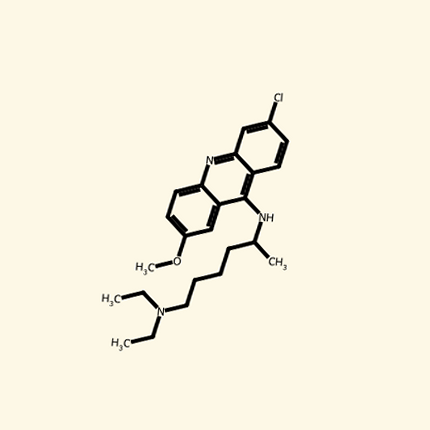 CCN(CC)CCCCC(C)Nc1c2ccc(Cl)cc2nc2ccc(OC)cc12